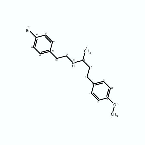 COc1ccc(CCC(C)NCCc2ccc(Br)cc2)cc1